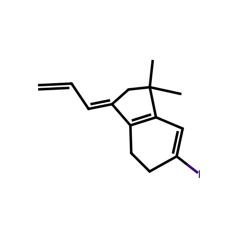 C=C/C=C1\CC(C)(C)C2=C1CCC(I)=C2